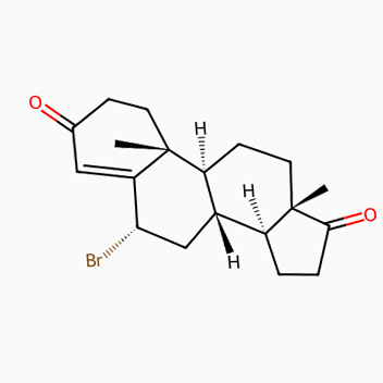 C[C@]12CCC(=O)C=C1[C@@H](Br)C[C@@H]1[C@@H]2CC[C@]2(C)C(=O)CC[C@@H]12